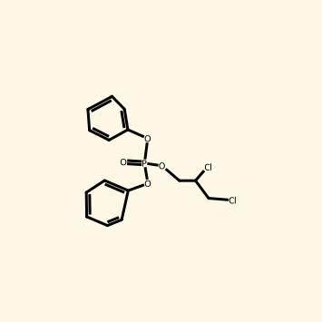 O=P(OCC(Cl)CCl)(Oc1ccccc1)Oc1ccccc1